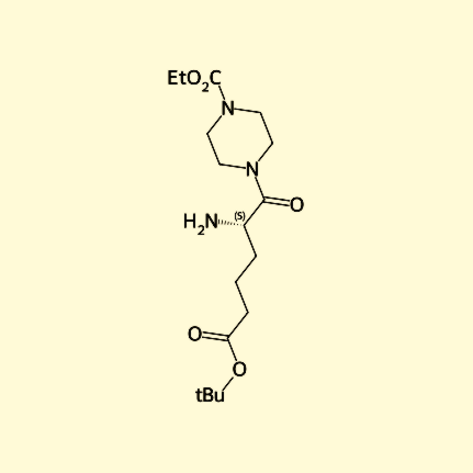 CCOC(=O)N1CCN(C(=O)[C@@H](N)CCCC(=O)OC(C)(C)C)CC1